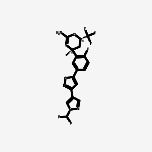 C[C@@]1(c2cc(-c3cc(-c4cnn(C(F)F)c4)no3)ccc2F)C[C@@H](C(F)(F)F)OC(N)=N1